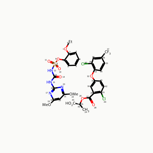 CCOc1ccccc1OS(=O)(=O)NC(=O)Nc1nc(OC)cc(OC)n1.C[C@H](OC(=O)c1cc(Oc2ccc(C(F)(F)F)cc2Cl)ccc1Cl)C(=O)O